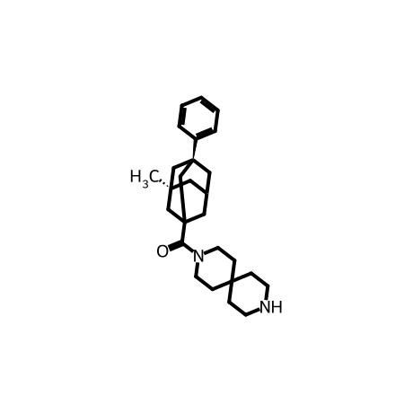 C[C@]12CC3CC(C(=O)N4CCC5(CCNCC5)CC4)(C1)C[C@@](c1ccccc1)(C3)C2